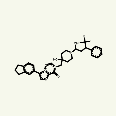 O=c1c2ncc(-c3ccc4c(c3)C[CH]C4)n2ncn1CC1(O)CCN(C(O)CC(c2ccccc2)C(F)(F)F)CC1